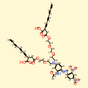 C#CC#CC#CC#CC(CC(=O)OCCOCCOCCN(CCOCCOC(=O)CC(C#CC#CC#CC#C)C(=O)O)c1ccc(/N=N/c2ccc([N+](=O)[O-])cc2[N+](=O)[O-])c(NC(C)=O)c1)C(=O)O